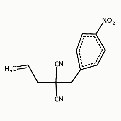 C=CCC(C#N)(C#N)Cc1ccc([N+](=O)[O-])cc1